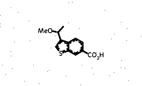 COC(C)c1csc2cc(C(=O)O)ccc12